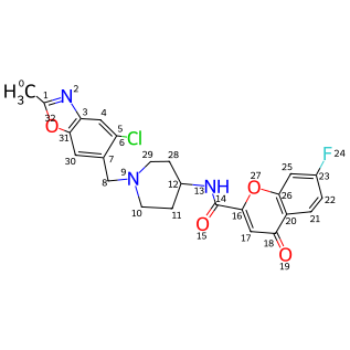 Cc1nc2cc(Cl)c(CN3CCC(NC(=O)c4cc(=O)c5ccc(F)cc5o4)CC3)cc2o1